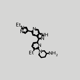 CCc1ccc(-c2n[nH]c3cnc(-c4cnn(CC)c4)cc23)nc1N1CCCC(N)C1